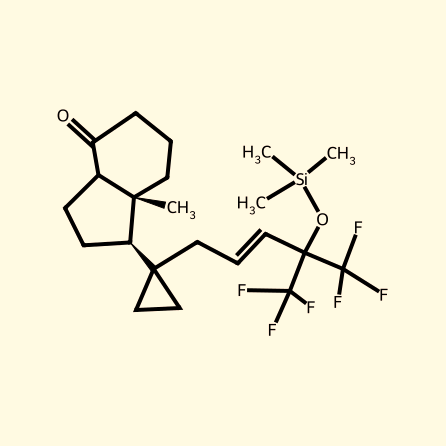 C[C@]12CCCC(=O)C1CC[C@@H]2C1(C/C=C/C(O[Si](C)(C)C)(C(F)(F)F)C(F)(F)F)CC1